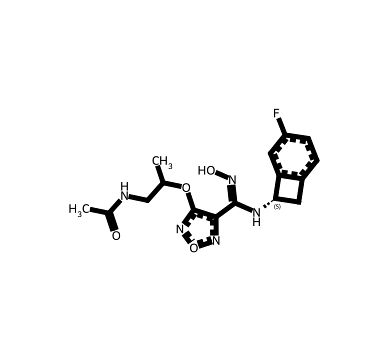 CC(=O)NCC(C)Oc1nonc1C(=NO)N[C@H]1Cc2ccc(F)cc21